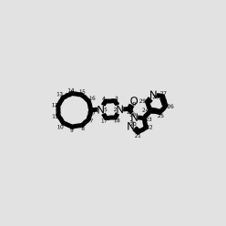 O=C(N1CCN(C2CCCCCCCCCC2)CC1)N1N=CCC1c1cccnc1